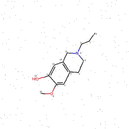 CCCN1CCc2cc(OC)c(O)cc2C1